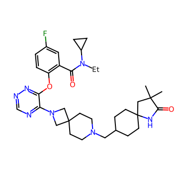 CCN(C(=O)c1cc(F)ccc1Oc1nncnc1N1CC2(CCN(CC3CCC4(CC3)CC(C)(C)C(=O)N4)CC2)C1)C1CC1